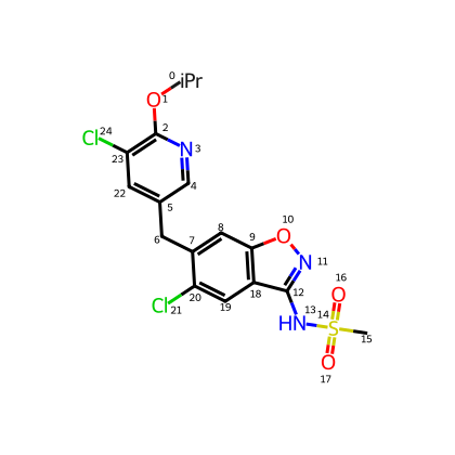 CC(C)Oc1ncc(Cc2cc3onc(NS(C)(=O)=O)c3cc2Cl)cc1Cl